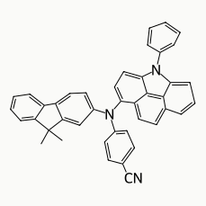 CC1(C)c2ccccc2-c2ccc(N(c3ccc(C#N)cc3)c3ccc4c5c3ccc3cccc(c35)n4-c3ccccc3)cc21